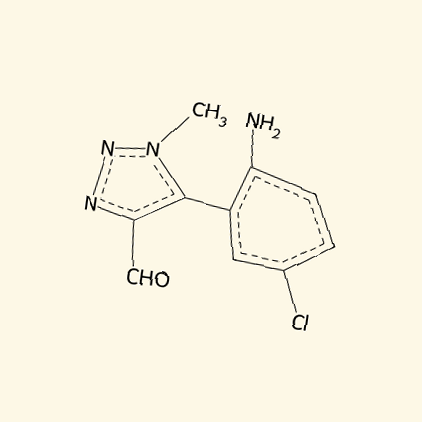 Cn1nnc(C=O)c1-c1cc(Cl)ccc1N